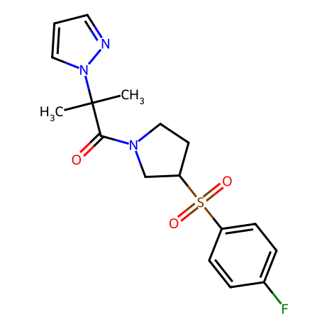 CC(C)(C(=O)N1CCC(S(=O)(=O)c2ccc(F)cc2)C1)n1cccn1